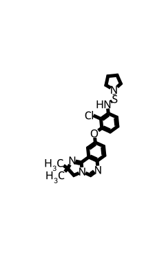 CC1(C)CN2C=Nc3ccc(Oc4cccc(NSN5CCCC5)c4Cl)cc3C2=N1